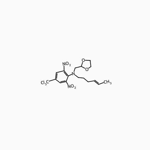 CC=CCCCN(CC1OCCO1)c1c([N+](=O)[O-])cc(C(Cl)(Cl)Cl)cc1[N+](=O)[O-]